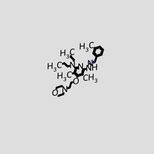 CCCN(CCC)c1nc(N/N=C/c2cccc(C)c2)c(C)c(OCCN2CCOCC2)c1C